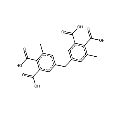 Cc1cc(Cc2cc(C)c(C(=O)O)c(C(=O)O)c2)cc(C(=O)O)c1C(=O)O